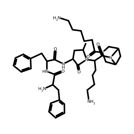 CC1CC(NC(=O)C(Cc2ccccc2)NC(=O)C(N)Cc2ccccc2)C(=O)N1C(CCCCN)C(=O)N1C2CC1CN(C(=O)CCCCCN)C2